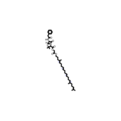 CC(C)=CCC/C(C)=C/CC/C=C/CC/C=C/CC/C=C(\C)CCCOC(=O)COC(=O)C1N2C(=O)[C@@H](NC(=O)Cc3ccccc3)[C@H]2SC1(C)C